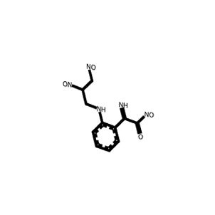 N=C(C(=O)N=O)c1ccccc1NCC(CN=O)N=O